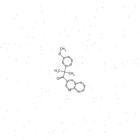 COc1cccc(C(C)(C)C(=O)c2cnc3ccccc3c2)c1